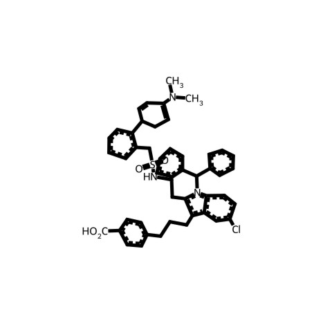 CN(C)C1=CCC(c2ccccc2CS(=O)(=O)NCCc2c(CCCc3ccc(C(=O)O)cc3)c3cc(Cl)ccc3n2C(c2ccccc2)c2ccccc2)C=C1